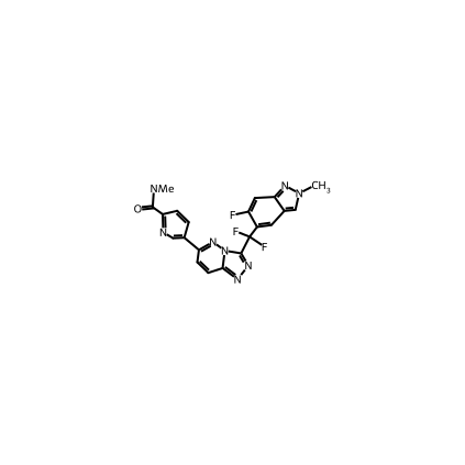 CNC(=O)c1ccc(-c2ccc3nnc(C(F)(F)c4cc5cn(C)nc5cc4F)n3n2)cn1